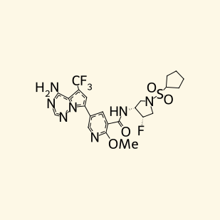 COc1ncc(-c2cc(C(F)(F)F)c3c(N)ncnn23)cc1C(=O)N[C@@H]1CN(S(=O)(=O)C2CCCC2)C[C@@H]1F